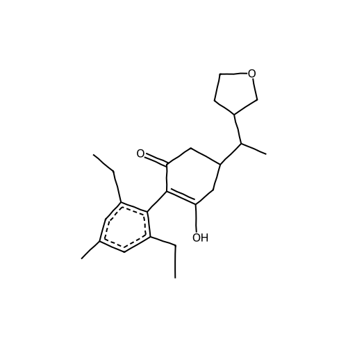 CCc1cc(C)cc(CC)c1C1=C(O)CC(C(C)C2CCOC2)CC1=O